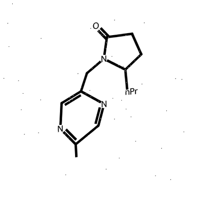 CCCC1CCC(=O)N1Cc1cnc(C)cn1